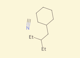 C#N.CCC(CC)CC1CCCCC1